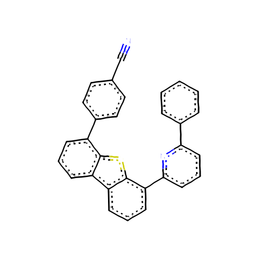 N#Cc1ccc(-c2cccc3c2sc2c(-c4cccc(-c5ccccc5)n4)cccc23)cc1